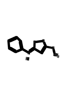 CSc1c/c(=N/c2ccccc2)ss1.I